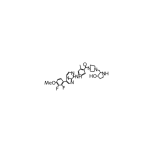 COc1ccc(-c2cnc3c(Nc4ccc(C(=O)N5CCN(C[C@H]6NCC[C@@H]6O)CC5)c(C)c4)nccn23)c(F)c1F